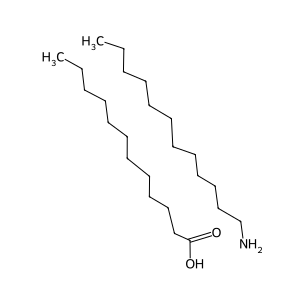 CCCCCCCCCCCC(=O)O.CCCCCCCCCCCCN